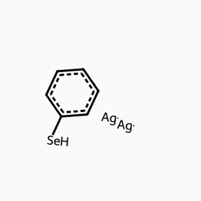 [Ag].[Ag].[SeH]c1ccccc1